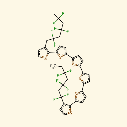 CC(F)(F)CC(F)(F)CC(F)(F)Cc1ccsc1-c1ccc(-c2ccc(-c3ccc(-c4ccc(-c5sccc5C(F)(F)CC(F)(F)CC(F)(F)CC(F)(F)F)s4)s3)s2)s1